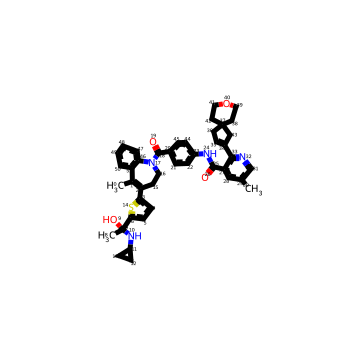 CC1=C(c2ccc(C(C)(O)NC3CC3)s2)CCN(C(=O)c2ccc(NC(=O)c3cc(C)cnc3C3=CCC4(CCOCC4)C3)cc2)c2ccccc21